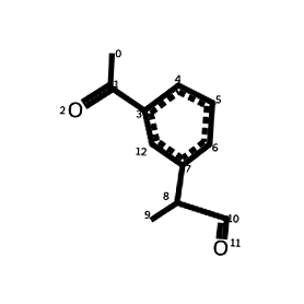 CC(=O)c1cccc(C(C)C=O)c1